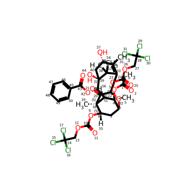 CC(=O)O[C@@]1(C)C2C[C@H](OC(=O)OCC(Cl)(Cl)Cl)[C@@]3(C)C(=O)[C@](OC(=O)OCC(Cl)(Cl)Cl)(O2)C2=C(C)[C@@H](O)C[C@@](O)([C@@H](OC(=O)c4ccccc4)[C@@H]31)C2(C)C